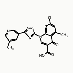 Cc1cncc(-c2nsc(-n3cc(C(=O)O)c(=O)c4c(C)cc(Cl)nc43)n2)c1